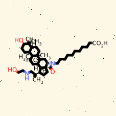 C=C(CNCCO)[C@@H]1CC[C@]2(C(=O)NCCCCCCCCCCC(=O)O)CC[C@]3(C)[C@H](CCC4[C@@]5(C)CC[C@H](O)C(C)(C)[C@@H]5CC[C@]43C)[C@@H]12